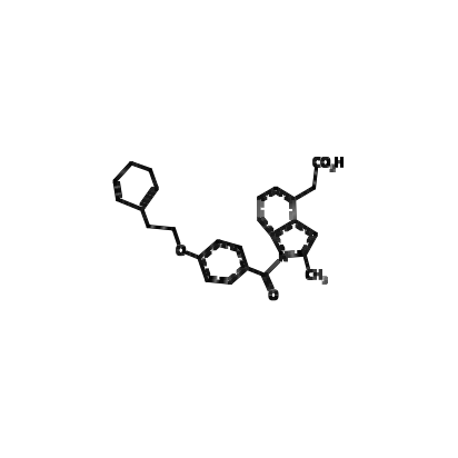 Cc1cc2c(CC(=O)O)cccc2n1C(=O)c1ccc(OCCC2=CCCC=C2)cc1